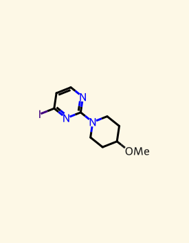 COC1CCN(c2nccc(I)n2)CC1